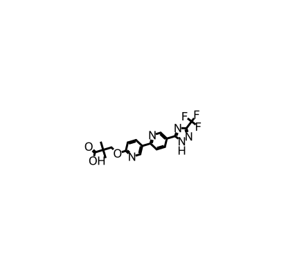 CC(C)(COc1ccc(-c2ccc(-c3nc(C(F)(F)F)n[nH]3)cn2)cn1)C(=O)O